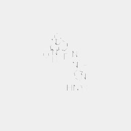 Cc1nc2c(Cl)cc(CN3CCN(c4ccc(C(=O)NC5CC5)nc4F)CC3)c(F)c2[nH]c1=O